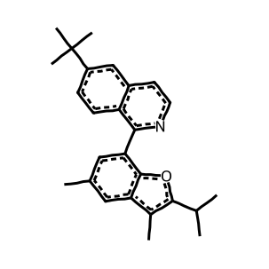 Cc1cc(-c2nccc3cc(C(C)(C)C)ccc23)c2oc(C(C)C)c(C)c2c1